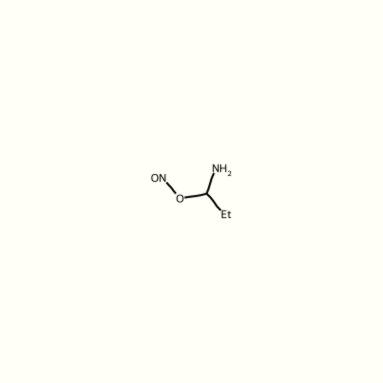 CCC(N)ON=O